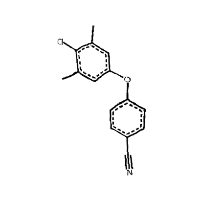 Cc1cc(Oc2ccc(C#N)cc2)cc(C)c1Cl